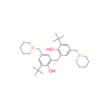 CC(C)(C)c1cc(CP2CCCCC2)cc(Cc2cc(CP3CCCCC3)cc(C(C)(C)C)c2O)c1O